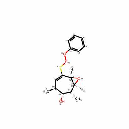 C[C@@H]1[C@H](O)[C@@H](C)C=C(SOOc2ccccc2)[C@H]2O[C@@H]12